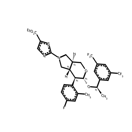 CCOC(=O)c1cnc(N2C[C@H]3CO[C@H](O[C@H](C)c4cc(C(F)(F)F)cc(C(F)(F)F)c4)[C@@H](c4ccc(F)cc4C)[C@@H]3C2)s1